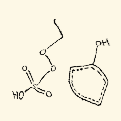 CCOOS(=O)(=O)O.Oc1ccccc1